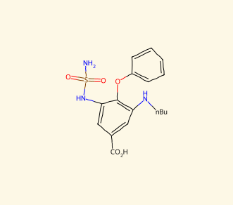 CCCCNc1cc(C(=O)O)cc(NS(N)(=O)=O)c1Oc1ccccc1